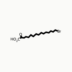 O=C(O)C(=O)CCCCCCCCCCCCCCBr